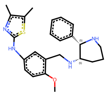 COc1ccc(Nc2nc(C)c(C)s2)cc1CN[C@H]1CCCN[C@H]1c1ccccc1